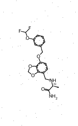 C[C@H](NCc1ccc(OCc2cccc(OC(F)F)c2)c2c1OCO2)C(N)=O